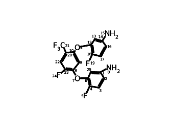 Nc1ccc(F)c(Oc2cc(Oc3cc(N)ccc3F)c(C(F)(F)F)cc2F)c1